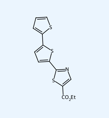 CCOC(=O)c1cnc(-c2ccc(-c3cccs3)s2)s1